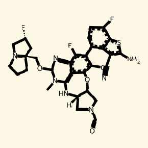 CN1C2=c3c(c(Cl)c(-c4ccc(F)c5sc(N)c(C#N)c45)c(F)c3=NC1OC[C@@]13CCCN1C[C@H](F)C3)OC1CN(C=O)C[C@@H]1N2